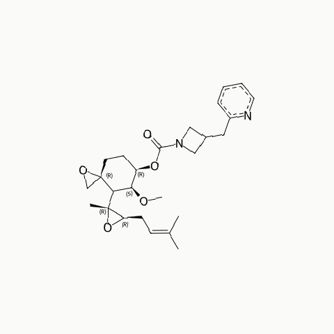 CO[C@H]1C([C@@]2(C)O[C@@H]2CC=C(C)C)[C@]2(CC[C@H]1OC(=O)N1CC(Cc3ccccn3)C1)CO2